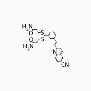 N#Cc1ccc2nc(C=Cc3cccc(C(SCCC(N)=O)SCCC(N)=O)c3)ccc2c1